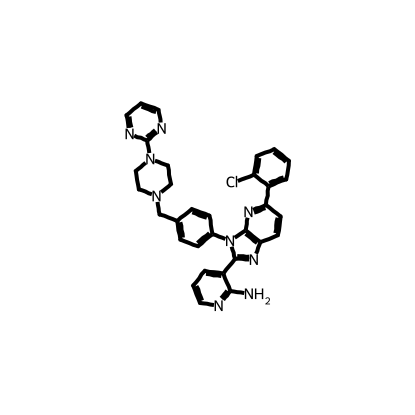 Nc1ncccc1-c1nc2ccc(-c3ccccc3Cl)nc2n1-c1ccc(CN2CCN(c3ncccn3)CC2)cc1